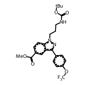 COC(=O)c1ccc2c(c1)c(-c1ccc(OC(F)(F)F)cc1)nn2CCCNC(=O)OC(C)(C)C